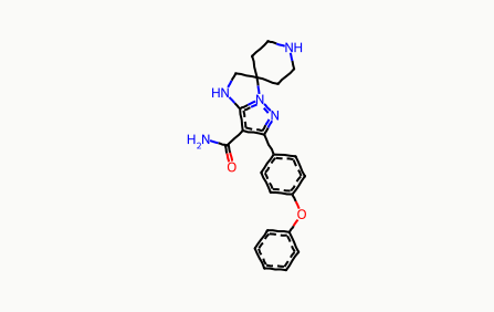 NC(=O)c1c(-c2ccc(Oc3ccccc3)cc2)nn2c1NCC21CCNCC1